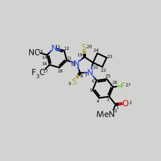 CNC(=O)c1ccc(N2C(=S)N(c3cnc(C#N)c(C(F)(F)F)c3)C(=S)C23CCC3)cc1F